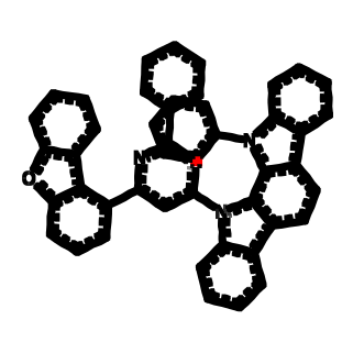 c1ccc(-c2nc(-c3cccc4oc5ccccc5c34)cc(-n3c4ccccc4c4ccc5c6ccccc6n(-c6ccccc6)c5c43)n2)cc1